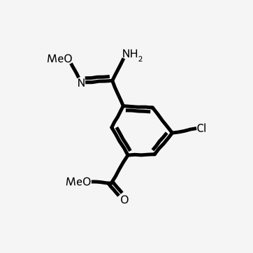 CON=C(N)c1cc(Cl)cc(C(=O)OC)c1